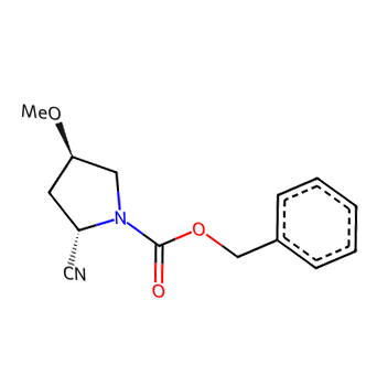 CO[C@@H]1C[C@@H](C#N)N(C(=O)OCc2ccccc2)C1